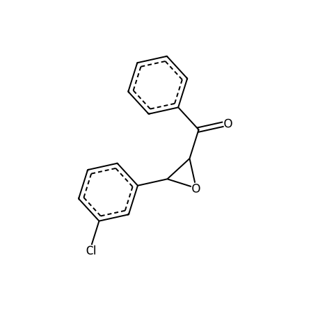 O=C(c1ccccc1)C1OC1c1cccc(Cl)c1